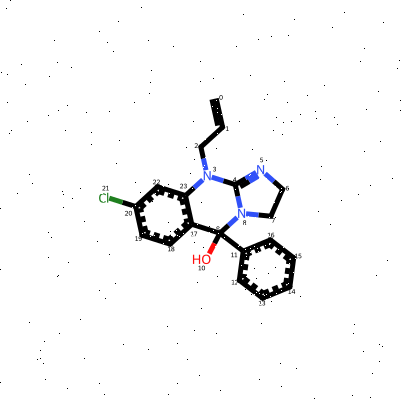 C=CCN1C2=NCCN2C(O)(c2ccccc2)c2ccc(Cl)cc21